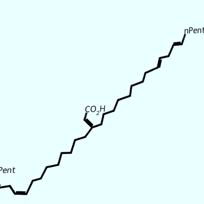 CCCCCC=CCC=CCCCCCCCCC(=CC(=O)O)CCCCCCCC/C=C\C/C=C\CCCCC